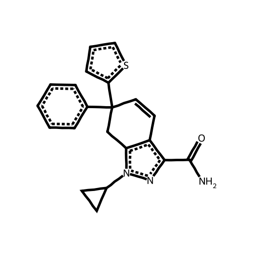 NC(=O)c1nn(C2CC2)c2c1C=CC(c1ccccc1)(c1cccs1)C2